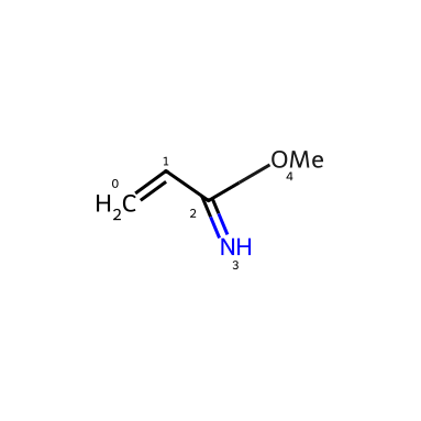 C=CC(=N)OC